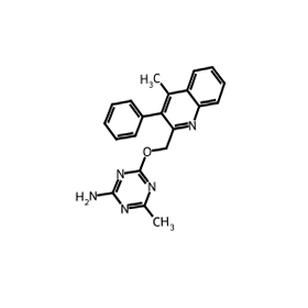 Cc1nc(N)nc(OCc2nc3ccccc3c(C)c2-c2ccccc2)n1